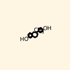 CC1(c2ccc(O)cc2)CCCc2cc(O)ccc2C1